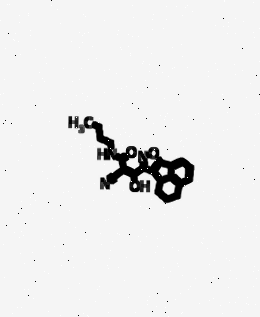 CCCCNC(=O)C(C#N)=C(O)c1noc2c1C1CCCc3cccc-2c31